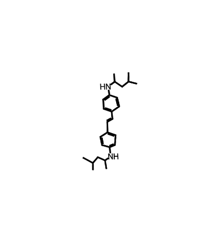 CC(C)CC(C)Nc1ccc(/C=C/c2ccc(NC(C)CC(C)C)cc2)cc1